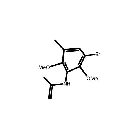 C=C(C)Nc1c(OC)c(C)cc(Br)c1OC